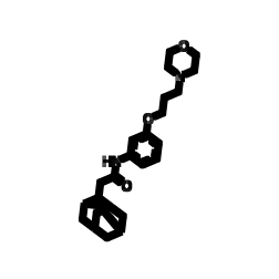 O=C(CC1C2CC3CC(C2)CC1C3)Nc1cccc(OCCCN2CCOCC2)c1